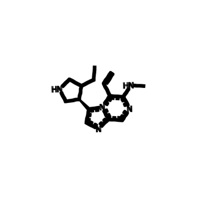 C=Cc1c(NC)ncc2ncc([C@H]3CNCC3CC)n12